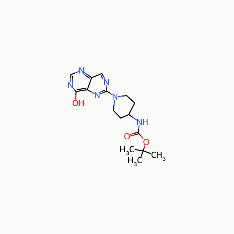 CC(C)(C)OC(=O)NC1CCN(c2ncc3ncnc(O)c3n2)CC1